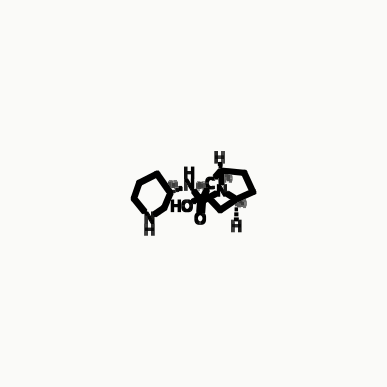 O=C(N[C@H]1CCCNC1)N1[C@@H]2CC[C@H]1C[C@@H](O)C2